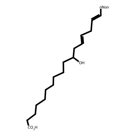 CCCCCCCCCC=CCC=CCC(O)CCCCCCCCCC(=O)O